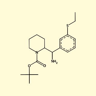 CCSc1cccc(C(N)C2CCCCN2C(=O)OC(C)(C)C)c1